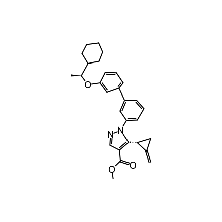 C=C1C[C@H]1c1c(C(=O)OC)cnn1-c1cccc(-c2cccc(O[C@@H](C)C3CCCCC3)c2)c1